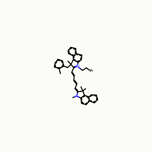 Cc1ccccc1CC1(C)C(/C=C/C=C/C=C2/N(C)c3ccc4ccccc4c3C2(C)C)=[N+](CCC(C)C)c2ccc3ccccc3c21